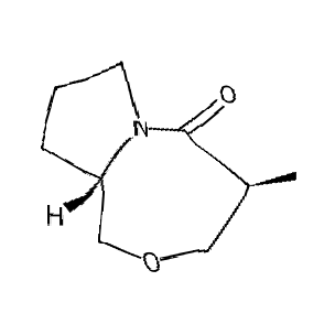 C[C@H]1COC[C@@H]2CCCN2C1=O